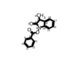 CC1C(=O)N(OC(=O)c2ccccc2)c2ccccc21